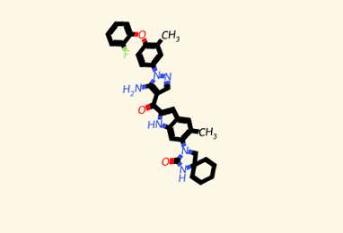 Cc1cc(-n2ncc(C(=O)c3cc4cc(C)c(N5CC6(CCCCC6)NC5=O)cc4[nH]3)c2N)ccc1Oc1ccccc1F